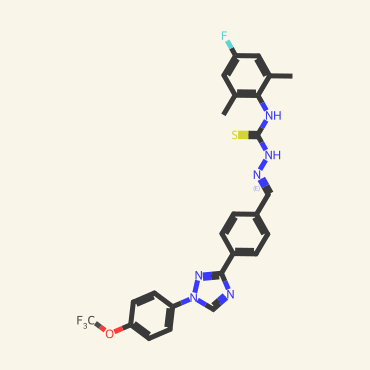 Cc1cc(F)cc(C)c1NC(=S)N/N=C/c1ccc(-c2ncn(-c3ccc(OC(F)(F)F)cc3)n2)cc1